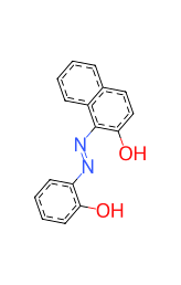 Oc1ccccc1/N=N/c1c(O)ccc2ccccc12